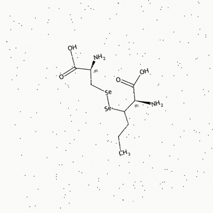 CCCC([Se][Se]C[C@H](N)C(=O)O)[C@H](N)C(=O)O